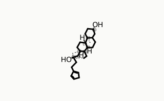 C[C@]12CC[C@H]3[C@@H](CCC4C[C@@H](O)CC[C@@]43C)[C@@H]1CC[C@@H]2[C@](C)(O)CCC1=CCC=C1